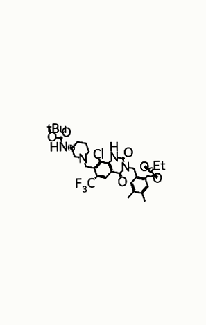 CCS(=O)(=O)c1cc(C)c(C)cc1Cn1c(=O)[nH]c2c(Cl)c(CN3CCC[C@@H](NC(=O)OC(C)(C)C)C3)c(C(F)(F)F)cc2c1=O